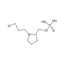 [O]CCCN1CCCC1COP(=O)(O)O